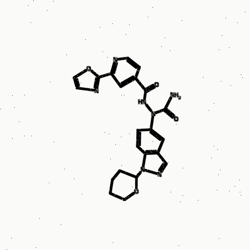 NC(=O)N(NC(=O)c1ccnc(-c2ncco2)c1)c1ccc2c(cnn2C2CCCCO2)c1